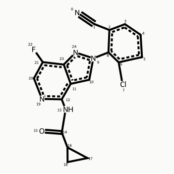 N#Cc1cccc(Cl)c1-n1cc2c(NC(=O)C3CC3)ncc(F)c2n1